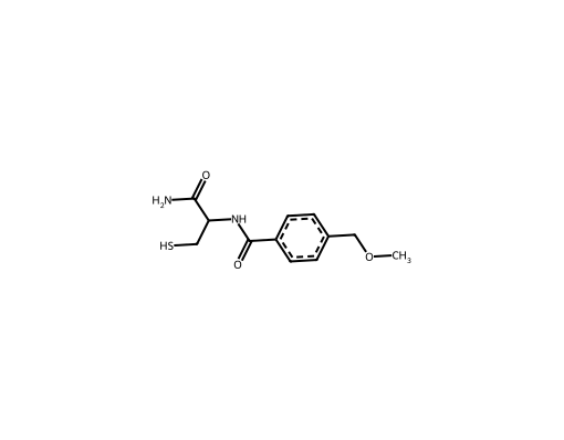 COCc1ccc(C(=O)NC(CS)C(N)=O)cc1